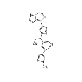 Cn1cc(-c2cncc(C(CC#N)n3cc(C4=C5C=CN=C5CC=N4)cn3)c2)cn1